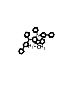 CC1(C)c2ccccc2-c2c(N(c3ccccc3)c3ccc(-c4ccccc4)cc3)cc([C@H](c3ccccc3)c3ccc(-c4ccccc4)cc3)cc21